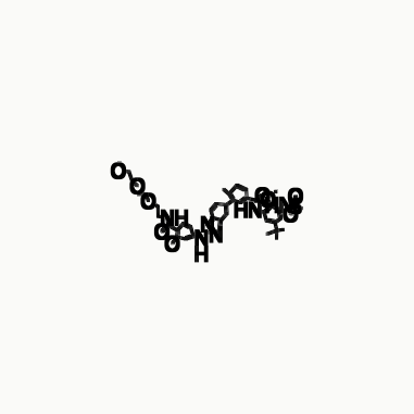 COCCOCCOCCNC(=O)c1ccc(Nc2ncc3cc(-c4cc(C(=O)Nc5cc(C(C)(C)C)cc(NS(C)(=O)=O)c5OC)ccc4C)ccc3n2)cc1OC